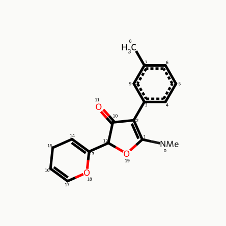 CNC1=C(c2cccc(C)c2)C(=O)C(C2=CCC=CO2)O1